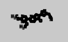 COc1ncc(-c2ccc3c(n2)CN(c2cnn(CC#N)c2)C3=O)c(OC)n1